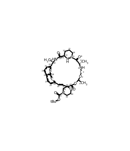 CC1OCN[C@@H](C)C(=O)N2CCC[C@H](N2)C(=O)N[C@H](C)c2ccc3ccc(cc3n2)/C=C/C2(CN(C(=O)OC(C)(C)C)CCO2)C(=O)O1